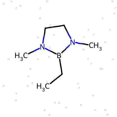 CCB1N(C)CCN1C